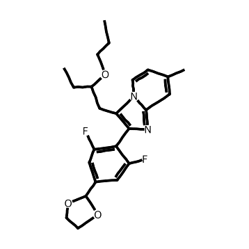 CCCOC(CC)Cc1c(-c2c(F)cc(C3OCCO3)cc2F)nc2cc(C)ccn12